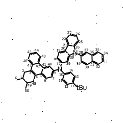 CC1Cc2c(c3ccc(N(c4ccc(C(C)(C)C)cc4)c4ccc5c6ccccc6n(-c6ccc7ccccc7c6)c5c4)cc3c3ccccc23)CC1C